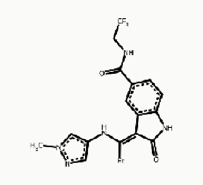 CCC(Nc1cnn(C)c1)=C1C(=O)Nc2ccc(C(=O)NCC(F)(F)F)cc21